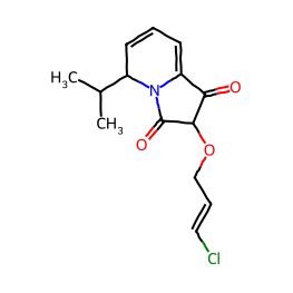 CC(C)C1C=CC=C2C(=O)C(OCC=CCl)C(=O)N21